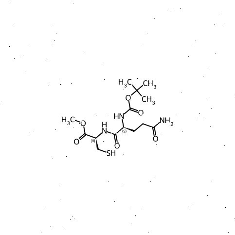 COC(=O)[C@H](CS)NC(=O)[C@H](CCC(N)=O)NC(=O)OC(C)(C)C